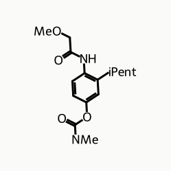 CCCC(C)c1cc(OC(=O)NC)ccc1NC(=O)COC